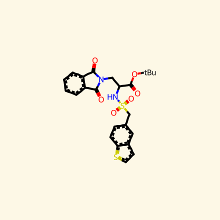 CC(C)(C)OC(=O)C(CN1C(=O)c2ccccc2C1=O)NS(=O)(=O)Cc1ccc2sccc2c1